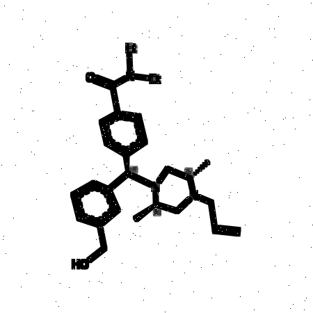 C=CCN1C[C@@H](C)N([C@H](c2ccc(C(=O)N(CC)CC)cc2)c2cccc(CO)c2)C[C@@H]1C